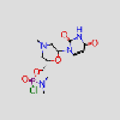 CN1CC(n2ccc(=O)[nH]c2=O)O[C@H](CO[P@@](=O)(Cl)N(C)C)C1